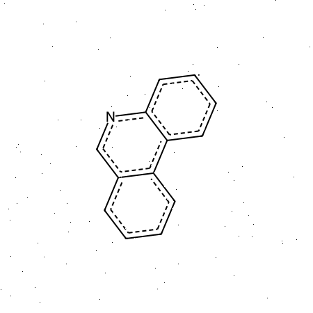 [c]1ccc2c(c1)ncc1ccccc12